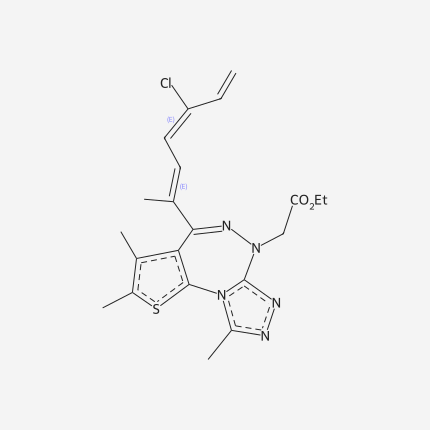 C=C/C(Cl)=C\C=C(/C)C1=NN(CC(=O)OCC)c2nnc(C)n2-c2sc(C)c(C)c21